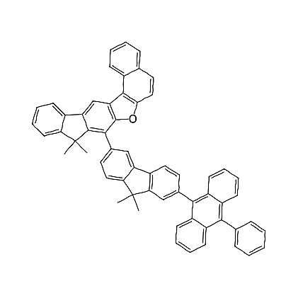 CC1(C)c2ccc(-c3c4c(cc5c3oc3ccc6ccccc6c35)-c3ccccc3C4(C)C)cc2-c2ccc(-c3c4ccccc4c(-c4ccccc4)c4ccccc34)cc21